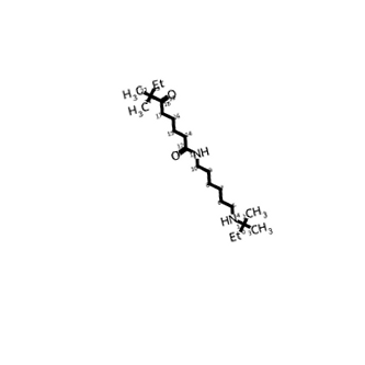 CCC(C)(C)NCCCCCCNC(=O)CCCCC(=O)C(C)(C)CC